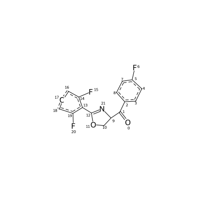 O=C(c1ccc(F)cc1)C1COC(c2c(F)cccc2F)=N1